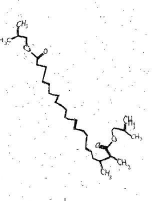 CC(C)COC(=O)CCCCCCCCCCCCCCCC(C)C(C)C(=O)OCC(C)C